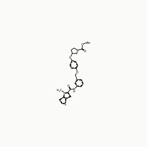 Cn1c(C(=O)Nc2cccc(COc3ccc(OC4CCN(C(=O)OC(C)(C)C)C4)cc3)c2)cc2sccc21